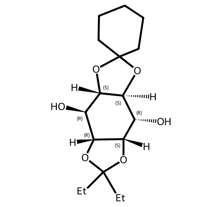 CCC1(CC)O[C@@H]2[C@@H](O)[C@@H]3OC4(CCCCC4)O[C@H]3[C@H](O)[C@@H]2O1